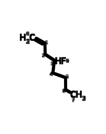 C=CCCCCCC.F